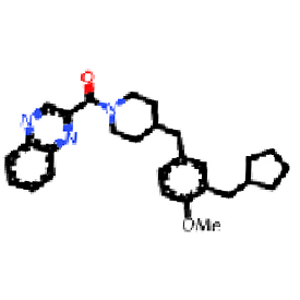 COc1ccc(CC2CCN(C(=O)c3cnc4ccccc4n3)CC2)cc1CC1CCCC1